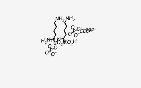 NCCCCC(N)C(=O)O.NCCCCC(N)C(=O)O.O=P([O-])([O-])[O-].O=P([O-])([O-])[O-].[Ca+2].[Ca+2].[Ca+2]